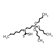 CCCCCCN(CCC[Si](OCCCC)(OCCCC)OCCCC)C(=S)S